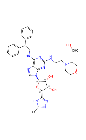 CCc1nnc([C@H]2O[C@@H](n3cnc4c(NCC(c5ccccc5)c5ccccc5)nc(NCCN5CCOCC5)nc43)[C@H](O)[C@@H]2O)[nH]1.O=CO